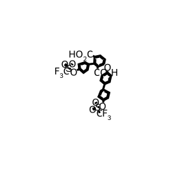 O=C(O)c1ccc(Oc2ccc(-c3ccc(OS(=O)(=O)C(F)(F)F)cc3)cc2)c(C(=O)O)c1-c1ccc(OS(=O)(=O)C(F)(F)F)cc1